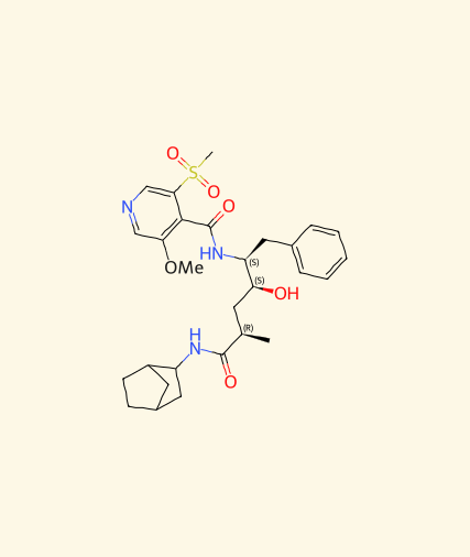 COc1cncc(S(C)(=O)=O)c1C(=O)N[C@@H](Cc1ccccc1)[C@@H](O)C[C@@H](C)C(=O)NC1CC2CCC1C2